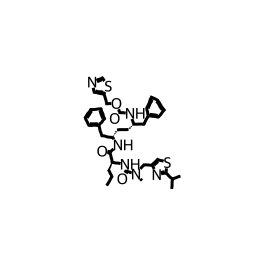 CCC[C@H](NC(=O)N(C)Cc1csc(C(C)C)n1)C(=O)N[C@@H](CC[C@@H](Cc1ccccc1)NC(=O)OCc1cncs1)Cc1ccccc1